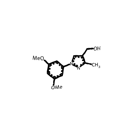 COc1cc(OC)cc(-n2cc(CO)c(C)n2)c1